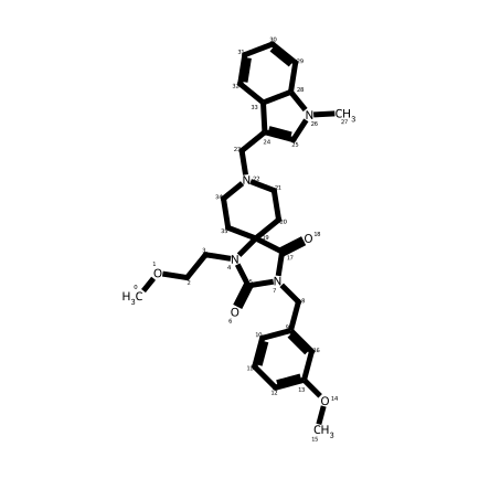 COCCN1C(=O)N(Cc2cccc(OC)c2)C(=O)C12CCN(CC1=CN(C)C3C=CC=CC13)CC2